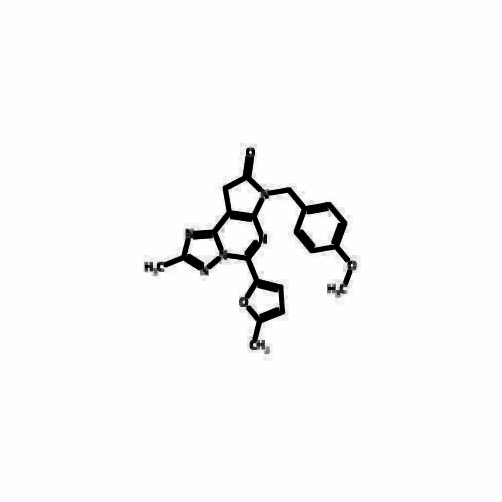 COc1ccc(CN2C(=O)Cc3c2nc(-c2ccc(C)o2)n2nc(C)nc32)cc1